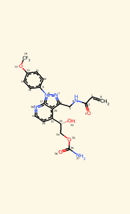 C=CC(=O)NCc1nn(-c2ccc(OC(F)(F)F)cc2)c2nccc([C@H](O)COC(N)=O)c12